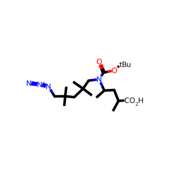 CC(CC(C)N(CC(C)(C)CC(C)(C)CN=[N+]=[N-])C(=O)OC(C)(C)C)C(=O)O